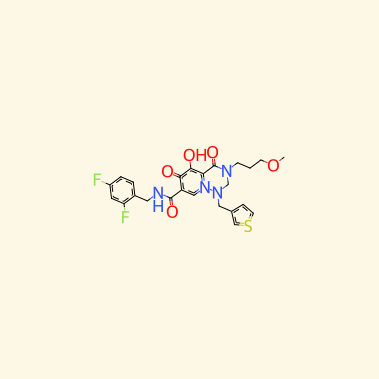 COCCCN1CN(Cc2ccsc2)n2cc(C(=O)NCc3ccc(F)cc3F)c(=O)c(O)c2C1=O